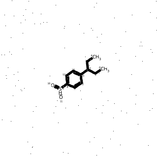 CCC(CC)c1ccc([SH](=O)=O)cc1